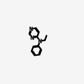 CCN(c1ccccc1)c1ccncn1